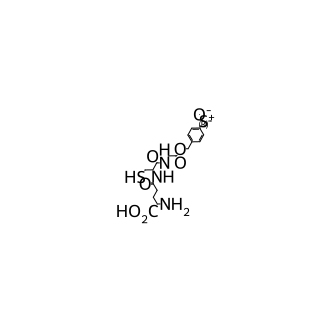 C[S@+]([O-])c1ccc(COC(=O)CNC(=O)C(CS)NC(=O)CCC(N)C(=O)O)cc1